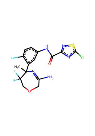 CC1(c2cc(NC(=O)c3nsc(Cl)n3)ccc2F)N=C(N)COCC1(F)F